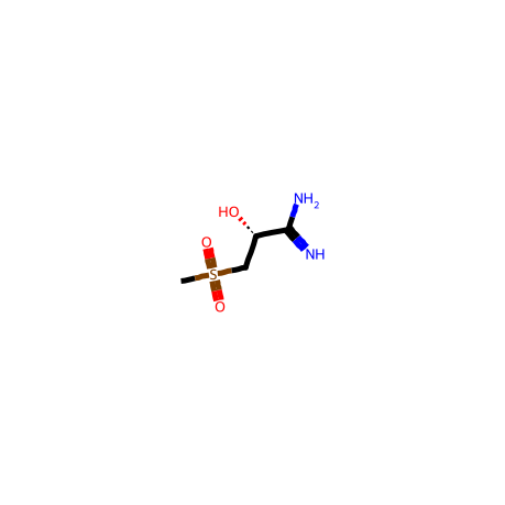 CS(=O)(=O)C[C@H](O)C(=N)N